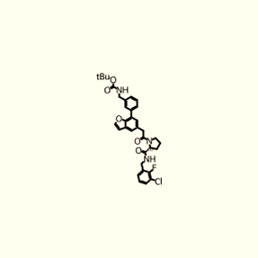 CC(C)(C)OC(=O)NCc1cccc(-c2cc(CC(=O)N3CCC[C@H]3C(=O)NCc3cccc(Cl)c3F)cc3ccoc23)c1